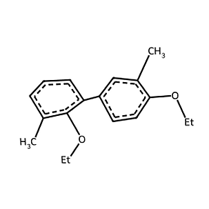 CCOc1ccc(-c2cccc(C)c2OCC)cc1C